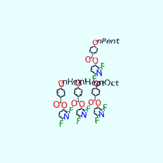 CCCCCCCCOc1ccc(C(=O)Oc2ccc(F)nc2F)cc1.CCCCCCCOc1ccc(C(=O)Oc2ccc(F)nc2F)cc1.CCCCCCOc1ccc(C(=O)Oc2ccc(F)nc2F)cc1.CCCCCOc1ccc(C(=O)Oc2ccc(F)nc2F)cc1